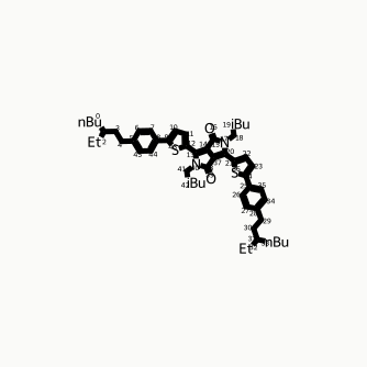 CCCCC(CC)CCc1ccc(-c2ccc(C3=C4C(=O)N(CC(C)CC)C(c5ccc(-c6ccc(CCC(CC)CCCC)cc6)s5)=C4C(=O)N3CC(C)CC)s2)cc1